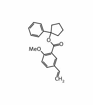 C=Cc1ccc(OC)c(C(=O)OC2(c3ccccc3)CCCC2)c1